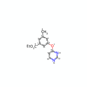 CCOC(=O)c1cc(C)cc(Oc2ccncn2)c1